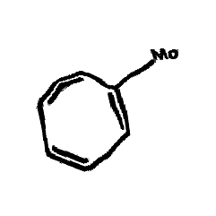 [Mo][c]1ccccc1